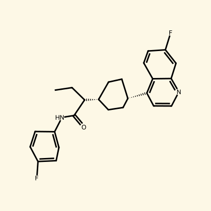 CCC(C(=O)Nc1ccc(F)cc1)[C@H]1CC[C@@H](c2ccnc3cc(F)ccc32)CC1